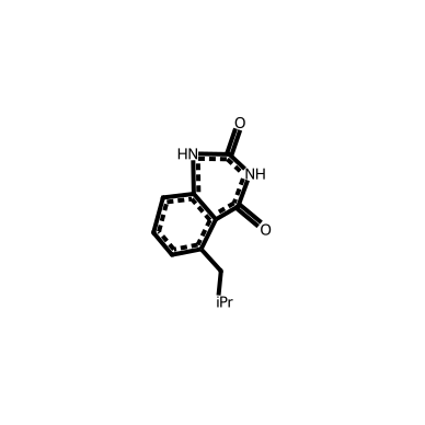 CC(C)Cc1cccc2[nH]c(=O)[nH]c(=O)c12